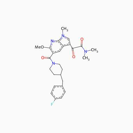 COc1nc2c(cc1C(=O)N1CCC(Cc3ccc(F)cc3)CC1)c(C(=O)C(=O)N(C)C)cn2C